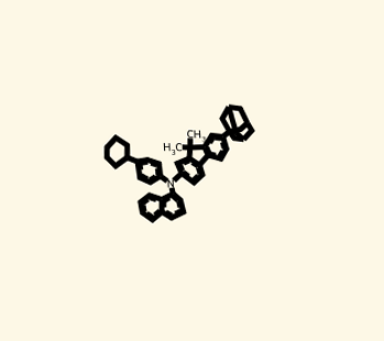 CC1(C)c2cc(N(c3ccc(C4CCCCC4)cc3)c3cccc4ccccc34)ccc2-c2ccc(C34CC5CC(CC(C5)C3)C4)cc21